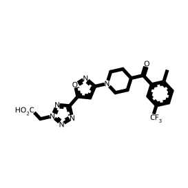 Cc1ccc(C(F)(F)F)cc1C(=O)C1CCN(c2cc(-c3nnn(CC(=O)O)n3)on2)CC1